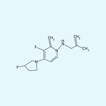 C=C(C)CNN1C=CC(N2CCC(F)C2)=C(F)C1=C